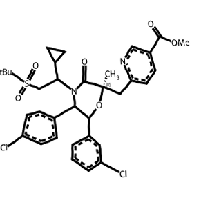 COC(=O)c1ccc(C[C@@]2(C)OC(c3cccc(Cl)c3)C(c3ccc(Cl)cc3)N(C(CS(=O)(=O)C(C)(C)C)C3CC3)C2=O)nc1